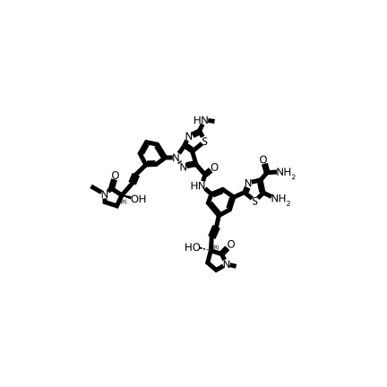 CNc1nc2c(s1)c(C(=O)Nc1cc(C#C[C@]3(O)CCN(C)C3=O)cc(-c3nc(C(N)=O)c(N)s3)c1)nn2-c1cccc(C#C[C@]2(O)CCN(C)C2=O)c1